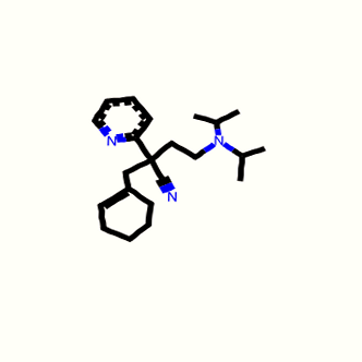 CC(C)N(CCC(C#N)(CC1=CCCCC1)c1ccccn1)C(C)C